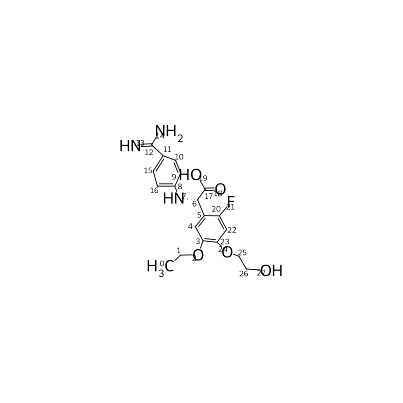 CCOc1cc([C@H](Nc2ccc(C(=N)N)cc2)C(=O)O)c(F)cc1OCCO